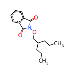 CCCC(CCC)CON1C(=O)c2ccccc2C1=O